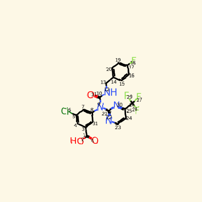 O=C(O)c1cc(Cl)cc(N(C(=O)NCc2ccc(F)cc2)c2nccc(C(F)(F)F)n2)c1